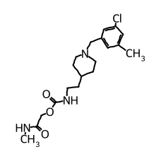 CNC(=O)COC(=O)NCCC1CCN(Cc2cc(C)cc(Cl)c2)CC1